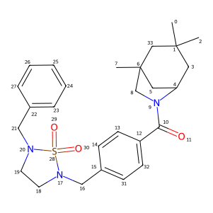 CC1(C)CC2CC(C)(CN2C(=O)c2ccc(CN3CCN(Cc4ccccc4)S3(=O)=O)cc2)C1